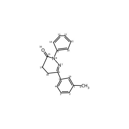 Cc1cccc(C2=NN(c3ccccc3)C(=O)CC2)c1